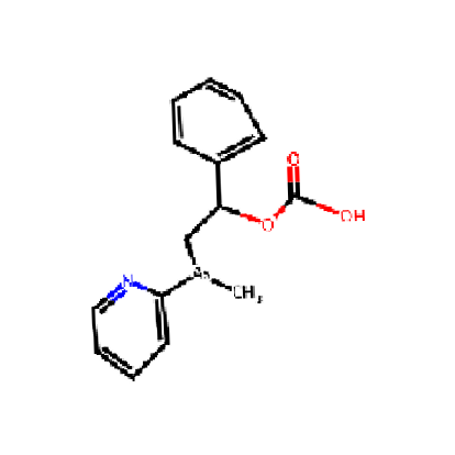 C[As](CC(OC(=O)O)c1ccccc1)c1ccccn1